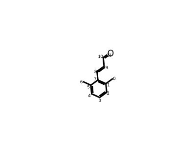 Cc1cccc(C)c1C=CC=O